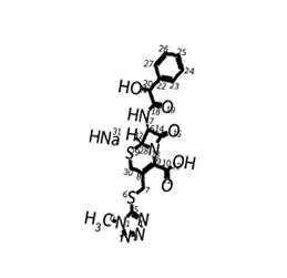 Cn1nnnc1SCC1=C(C(=O)O)N2C(=O)[C@@H](NC(=O)C(O)c3ccccc3)[C@H]2SC1.[NaH]